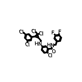 O=C(NCc1ccc(F)c(F)c1)c1cc(NCC2C(c3cc(Cl)cc(Cl)c3)C2(Cl)Cl)ccc1Cl